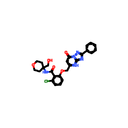 O=C(NC1(CO)CCOCC1)c1c(Cl)cccc1OCc1cc(=O)n2nc(-c3ccccc3)nc2[nH]1